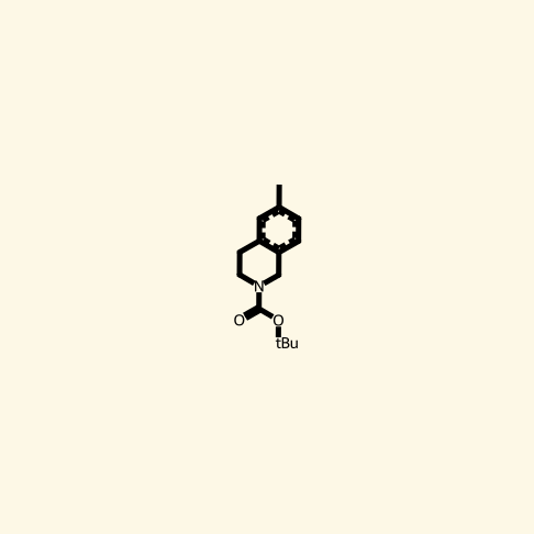 Cc1ccc2c(c1)CCN(C(=O)OC(C)(C)C)C2